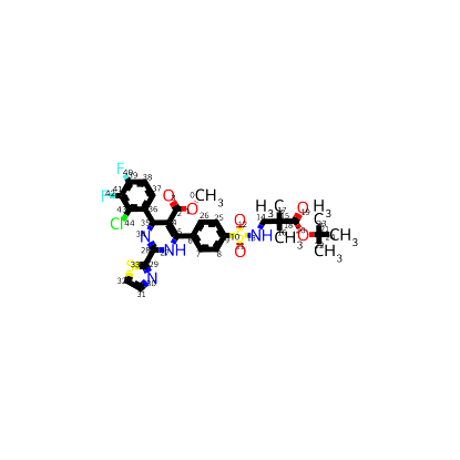 COC(=O)C1=C(c2ccc(S(=O)(=O)NCC(C)(C)C(=O)OC(C)(C)C)cc2)NC(c2nccs2)=NC1c1ccc(F)c(F)c1Cl